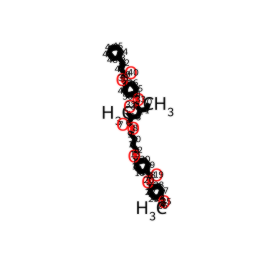 CCC(CC(C)C(=O)OCCCCOc1ccc(C(=O)Oc2ccc(OC)cc2)cc1)C(=O)Oc1ccc(OC(=O)/C=C/c2ccccc2)cc1